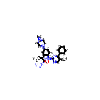 C=C(C(N)=O)c1cc(N2CCN(CC)CC2)ccc1Nc1ncc(C#N)c(-c2ccccc2)n1